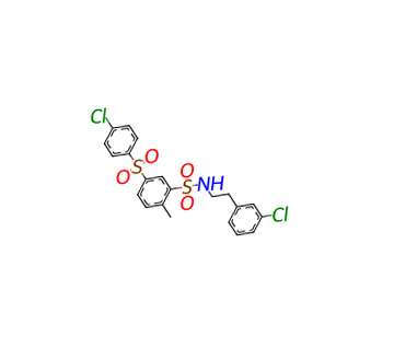 Cc1ccc(S(=O)(=O)c2ccc(Cl)cc2)cc1S(=O)(=O)NCCc1cccc(Cl)c1